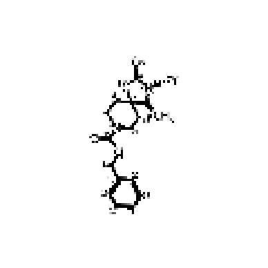 C=C1N(CCC)C(=O)OC12CCN(C(=O)OCc1ccccc1)CC2